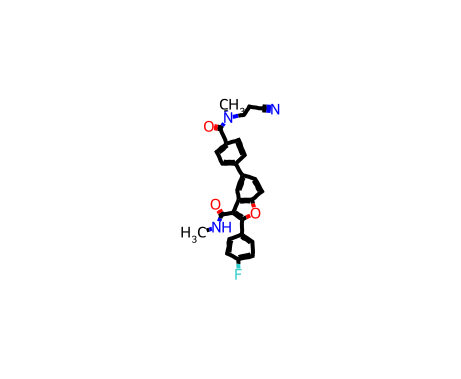 CNC(=O)c1c(-c2ccc(F)cc2)oc2ccc(-c3ccc(C(=O)N(C)CCC#N)cc3)cc12